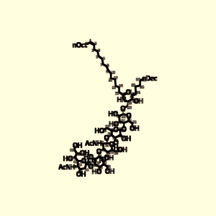 CCCCCCCC/C=C\CCCCCCCCCCCCCC(=O)N[C@@H](CO[C@@H]1OC(CO)[C@@H](O[C@@H]2OC(CO)[C@H](O[C@@H]3OC(CO)[C@H](O)[C@H](O[C@@H]4OC(CO)[C@H](O)[C@H](O[C@]5(C(=O)O)CC(O)[C@@H](NC(C)=O)C([C@H](O)[C@H](O)CO)O5)C4O)C3NC(C)=O)[C@H](O)C2O)[C@H](O)C1O)[C@H](O)/C=C/CCCCCCCCCCCCC